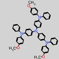 COc1ccc(N(c2ccccc2)c2ccc(N(c3ccc(N(c4ccccc4)c4ccc(OC)cc4)cc3)c3ccc(N(c4ccccc4)c4ccc(OC)cc4)cc3)cc2)cc1